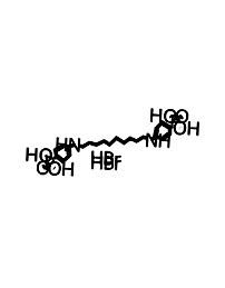 Br.Br.O=P(O)(O)c1ccc(NCCCCCCCCCCNc2ccc(P(=O)(O)O)cc2)cc1